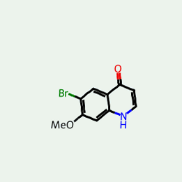 COc1cc2[nH]ccc(=O)c2cc1Br